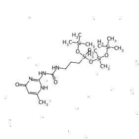 Cc1cc(=O)nc(NC(=O)NCCC[Si](C)(O[Si](C)(C)C)O[Si](C)(C)O[Si](C)(C)C)[nH]1